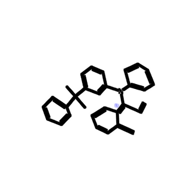 C=C/C(=c1/ccccc1=C)N(c1ccccc1)c1cccc(C(C)(C)c2ccccc2)c1